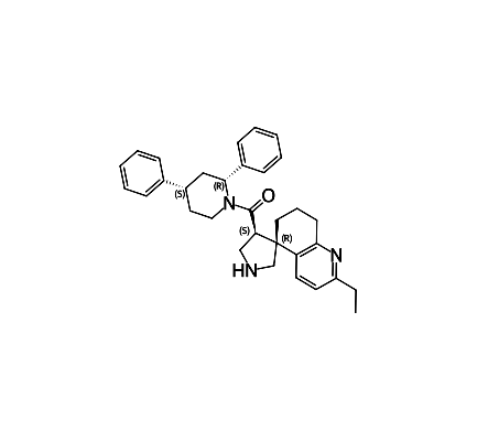 CCc1ccc2c(n1)CCC[C@]21CNC[C@H]1C(=O)N1CC[C@H](c2ccccc2)C[C@@H]1c1ccccc1